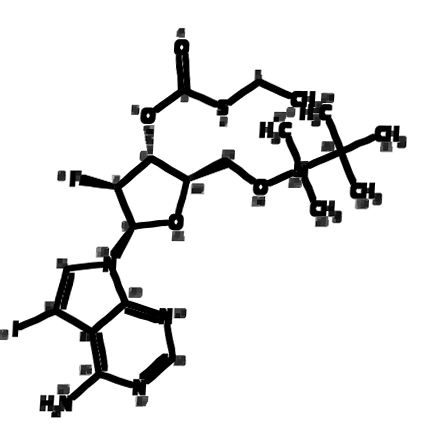 CCSC(=O)O[C@H]1[C@H](F)[C@H](n2cc(I)c3c(N)ncnc32)O[C@@H]1CO[Si](C)(C)C(C)(C)C